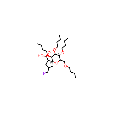 CCCCOCC1O[C@]2(CC(CI)CC2C(=O)O)C(OCCCC)C(OCCCC)[C@@H]1OCCCC